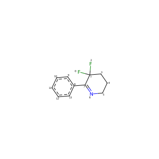 FC1(F)CCCN=C1c1ccccc1